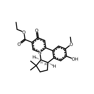 CCOC(=O)c1cn2c(cc1=O)-c1cc(OC)c(O)cc1[C@H]1CCC(C)(C)[C@H]12